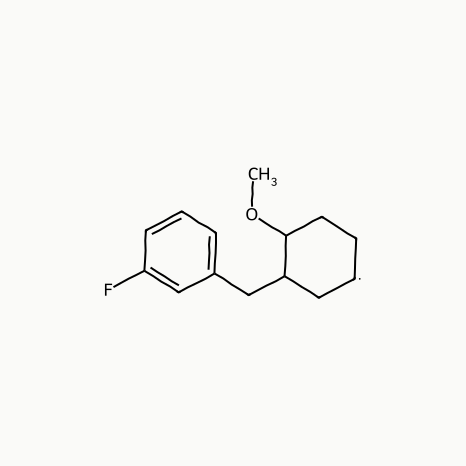 COC1CC[CH]CC1Cc1cccc(F)c1